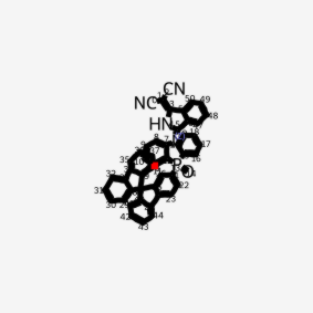 N#CC(C#N)=C1N/C(=N\c2ccccc2P(=O)(c2ccccc2)c2ccc3c(c2)C2(c4ccccc4-c4ccccc42)c2ccccc2-3)c2ccccc21